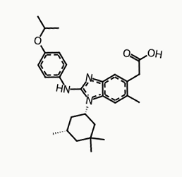 Cc1cc2c(cc1CC(=O)O)nc(Nc1ccc(OC(C)C)cc1)n2[C@H]1C[C@@H](C)CC(C)(C)C1